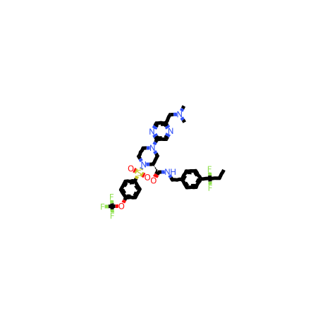 CCC(F)(F)c1ccc(CNC(=O)[C@H]2CN(c3cnc(CN(C)C)cn3)CCN2S(=O)(=O)c2ccc(OC(F)(F)F)cc2)cc1